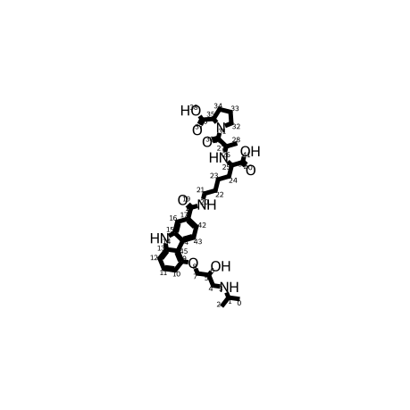 CC(C)NCC(O)COc1cccc2[nH]c3cc(C(=O)NCCCCC(NC(C)C(=O)N4CCCC4C(=O)O)C(=O)O)ccc3c12